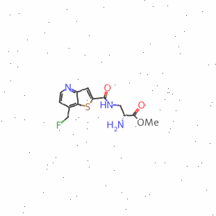 COC(=O)[C@H](N)CNC(=O)c1cc2nccc(CF)c2s1